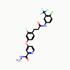 CNC(=O)c1cc(Oc2ccc(CCC(=O)Nc3ccc(Cl)c(C(F)(F)F)c3)c(F)c2)ccn1